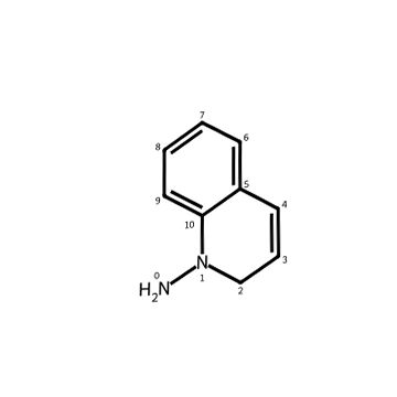 NN1CC=Cc2ccccc21